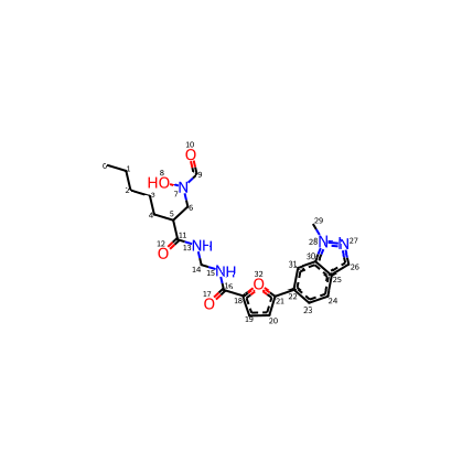 CCCCCC(CN(O)C=O)C(=O)NCNC(=O)c1ccc(-c2ccc3cnn(C)c3c2)o1